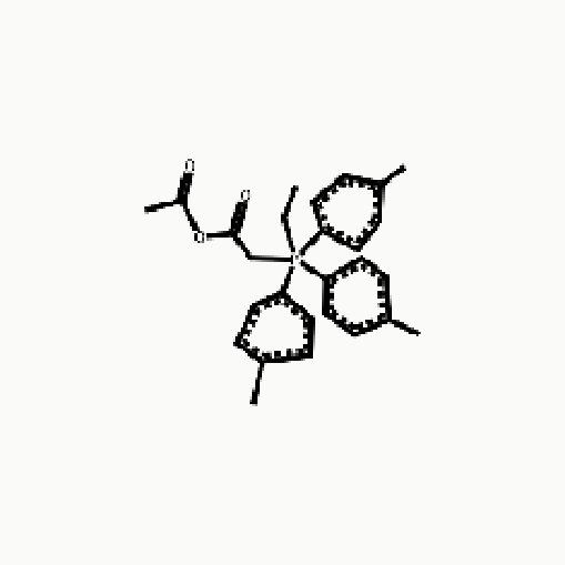 CCP(CC(=O)OC(C)=O)(c1ccc(C)cc1)(c1ccc(C)cc1)c1ccc(C)cc1